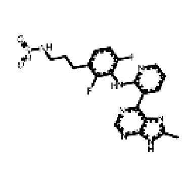 Cc1nc2c(-c3cccnc3Nc3c(F)ccc(CCCN[SH](=O)=O)c3F)ncnc2[nH]1